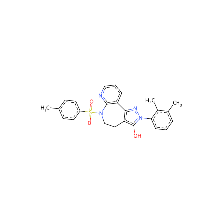 Cc1ccc(S(=O)(=O)N2CCc3c(nn(-c4cccc(C)c4C)c3O)-c3cccnc32)cc1